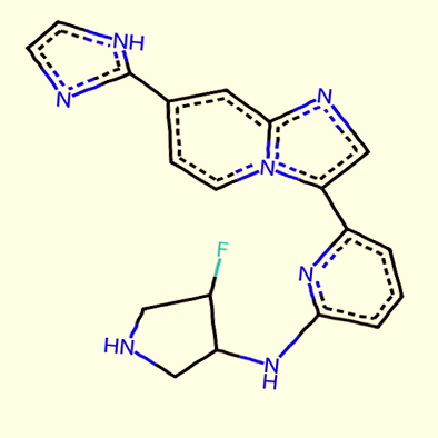 FC1CNCC1Nc1cccc(-c2cnc3cc(-c4ncc[nH]4)ccn23)n1